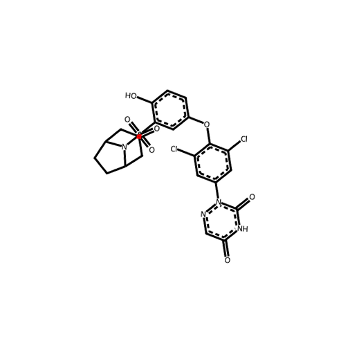 O=C1CC2CCC(C1)N2S(=O)(=O)c1cc(Oc2c(Cl)cc(-n3ncc(=O)[nH]c3=O)cc2Cl)ccc1O